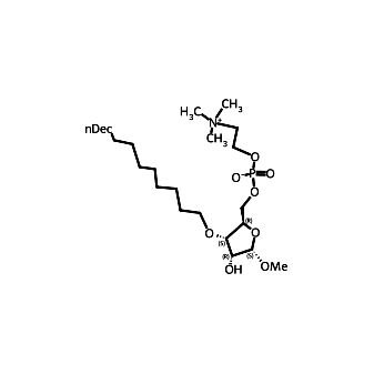 CCCCCCCCCCCCCCCCCCO[C@H]1[C@@H](O)[C@@H](OC)O[C@@H]1COP(=O)([O-])OCC[N+](C)(C)C